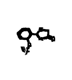 O=C1CSC(c2ccccc2OC(F)(F)F)=N1